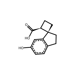 O=C(O)[C@H]1CC[C@]12CCc1ccc(O)cc12